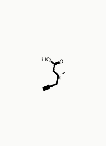 C#CC[C@@H](C)CC(=O)O